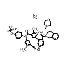 Cc1c(C(=O)N(c2ccc(OP(=O)([O-])[O-])cc2)c2cc(C#N)n(C)c2)cc(-c2cc(Cl)ccc2C(=O)N2Cc3ccccc3C[C@H]2CN2CCOCC2)n1C.[Na+].[Na+]